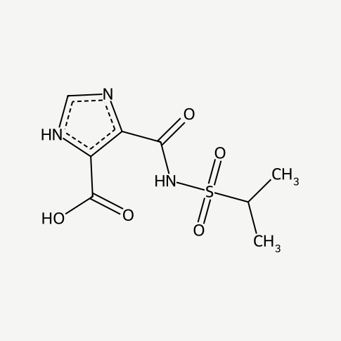 CC(C)S(=O)(=O)NC(=O)c1nc[nH]c1C(=O)O